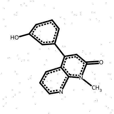 Cn1c(=O)cc(-c2cccc(O)c2)c2cccnc21